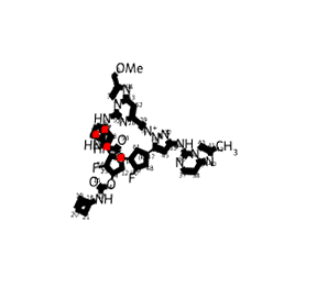 COCc1cn2c(Nc3cc([C@H]4OC[C@@H](OC(=O)NC56CC(C5)C6)[C@H]4F)[nH]n3)nc(C#[N+]n3nc(Nc4nccc5nc(C)cn45)cc3[C@H]3C[C@@H](F)[C@@H](OC(=O)NC45CC(C4)C5)C3)cc2n1